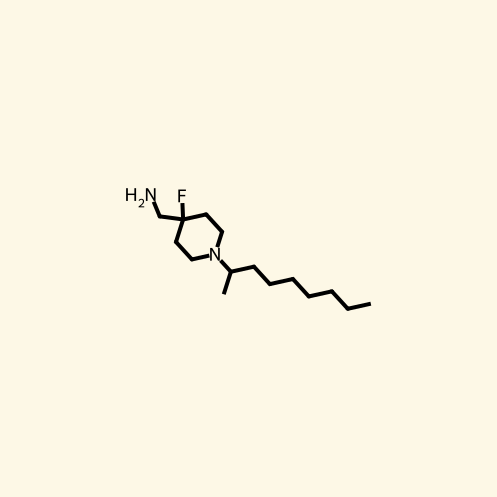 CCCCCCCC(C)N1CCC(F)(CN)CC1